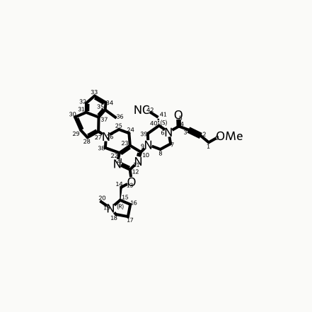 COCC#CC(=O)N1CCN(c2nc(OC[C@H]3CCCN3C)nc3c2CCN(c2cccc4cccc(C)c24)C3)C[C@@H]1CC#N